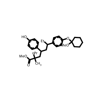 CCCC(C)(CC(CC(CC)c1ccc(OC2(OC)CCCCC2)cc1)c1ccc(O)cc1)C(=O)OC